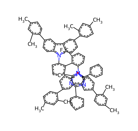 Cc1ccc(-c2ccc3c(c2)c2cc(-c4ccc(C)cc4C)ccc2n3-c2cccc(-c3nc(-c4ccccc4)nc(-c4ccccc4)n3)c2-c2c(-n3c4ccc(-c5ccc(C)cc5C)cc4c4cc(-c5ccc(C)cc5C)ccc43)cccc2C(F)(F)F)c(C)c1